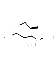 C=CCS(=O)(=O)O.CCCCCCCCCCCCOS(=O)(=O)O.[NaH]